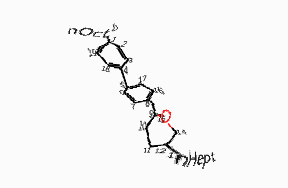 CCCCCCCCc1ccc(-c2ccc(C3CCC(CCCCCCC)CO3)cc2)cc1